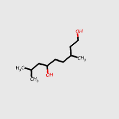 CC(C)CC(O)CCC(C)CCO